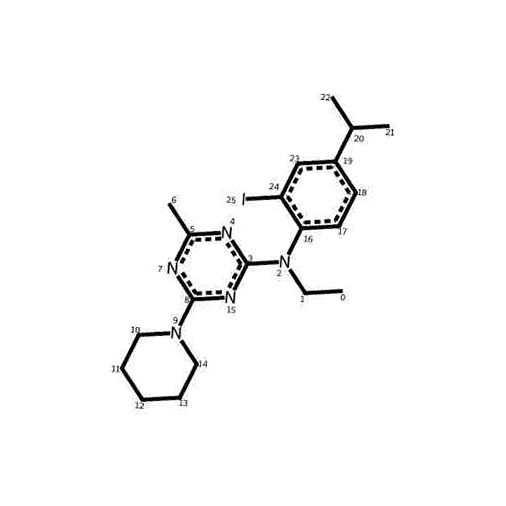 CCN(c1nc(C)nc(N2CCCCC2)n1)c1ccc(C(C)C)cc1I